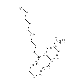 Cl.Cl.NCCCCNCCCN1c2ccccc2Sc2ccc(Cl)cc21